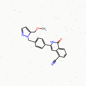 COCc1ccnn1Cc1ccc(-c2cc3c(C#N)cccc3c(=O)[nH]2)cc1